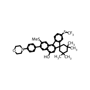 CSc1cc2c3c(cc(O)c2cc1-c1ccc(N2CCOCC2)cc1)C1(CC(C)(C)CC(C)(C)C1)c1cc(SC(F)(F)F)ccc1-3